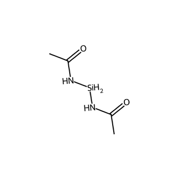 CC(=O)N[SiH2]NC(C)=O